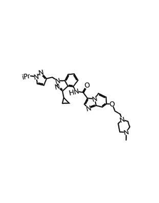 CC(C)n1ccc(Cn2nc(C3CC3)c3c(NC(=O)c4cnc5cc(OCCN6CCN(C)CC6)ccn45)cccc32)n1